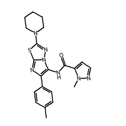 Cc1ccc(-c2nc3sc(N4CCCCC4)nn3c2NC(=O)c2ccnn2C)cc1